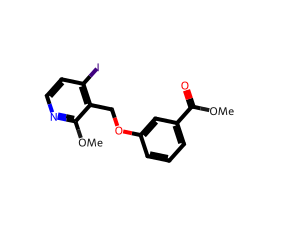 COC(=O)c1cccc(OCc2c(I)ccnc2OC)c1